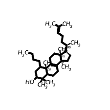 CCCCC1CC(O)C(C)(C)C2CCC3=C(CC[C@]4(C)[C@@H]([C@H](C)CCC=C(C)C)CC[C@@]34C)[C@@]12C